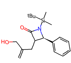 C=C(CO)CC1C(=O)N([Si](C)(C)C(C)(C)C)[C@H]1c1ccccc1